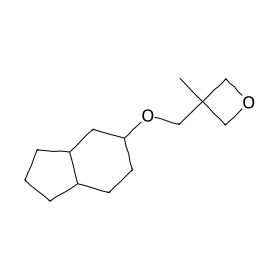 CC1(COC2CCC3CCCC3C2)COC1